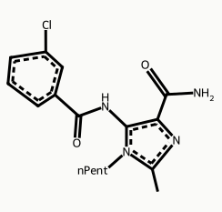 CCCCCn1c(C)nc(C(N)=O)c1NC(=O)c1cccc(Cl)c1